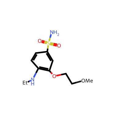 CCNc1ccc(S(N)(=O)=O)cc1OCCOC